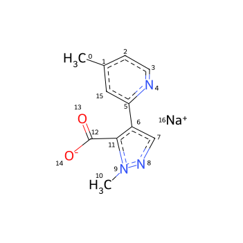 Cc1ccnc(-c2cnn(C)c2C(=O)[O-])c1.[Na+]